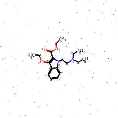 CCOC(=O)c1c(OCC)c2ccccc2n1CCN(CC)CC